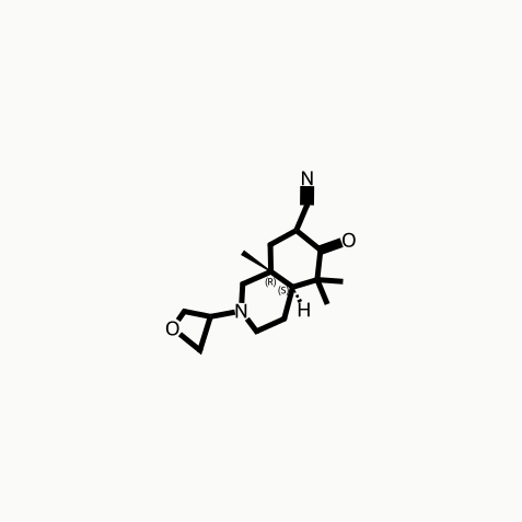 CC1(C)C(=O)C(C#N)C[C@@]2(C)CN(C3COC3)CC[C@H]12